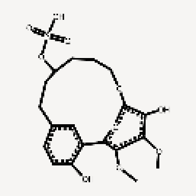 COc1c2cc(c(O)c1OC)CCCCC(OS(=O)(=O)O)CCc1ccc(O)c-2c1